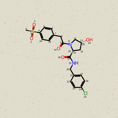 CS(=O)(=O)c1ccc(CC(=O)N2C[C@H](O)C[C@H]2C(=O)NCc2ccc(Cl)cc2)cc1